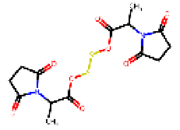 CC(C(=O)OSSOC(=O)C(C)N1C(=O)CCC1=O)N1C(=O)CCC1=O